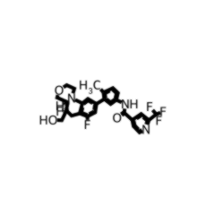 Cc1ccc(NC(=O)c2ccnc(C(F)(F)F)c2)cc1-c1cc(F)c2c(c1)N1CCOC[C@H]1[C@](F)(CO)C2